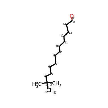 CC(C)(C)CCCCCCCCCCCC[O]